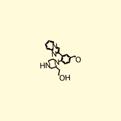 O=Cc1ccc(N2CCNCC2CCO)c(-c2cn3ccccc3n2)c1